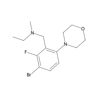 CCN(C)Cc1c(N2CCOCC2)ccc(Br)c1F